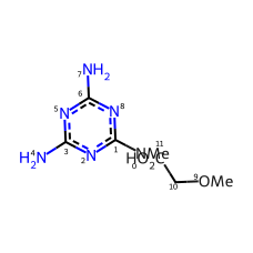 CNc1nc(N)nc(N)n1.COCC(=O)O